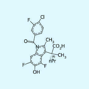 CCC[C@@](C)(C(=O)O)c1c(C)n(C(=O)c2ccc(Cl)c(F)c2)c2cc(F)c(O)c(F)c12